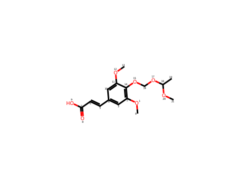 COc1cc(C=CC(=O)O)cc(OC)c1OCOC(C)OC